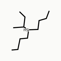 CCCC[SiH](CCCC)C(C)CC